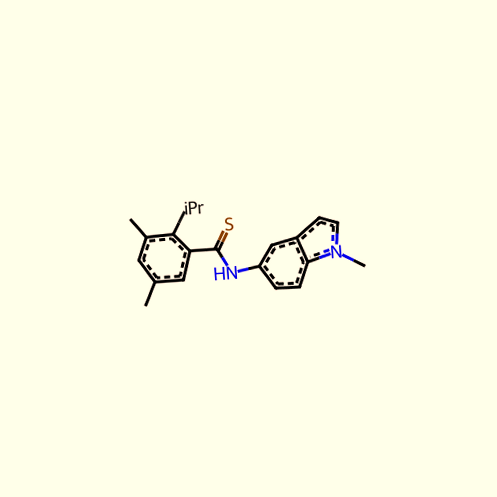 Cc1cc(C)c(C(C)C)c(C(=S)Nc2ccc3c(ccn3C)c2)c1